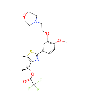 COc1ccc(-c2nc([C@H](C)OC(=O)C(F)(F)F)c(C)s2)cc1OCCN1CCOCC1